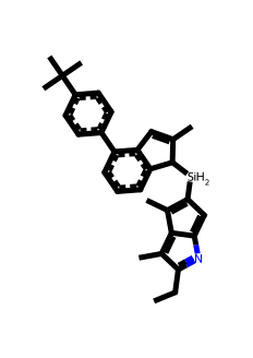 CCC1=NC2=CC([SiH2]C3C(C)=Cc4c(-c5ccc(C(C)(C)C)cc5)cccc43)=C(C)C2=C1C